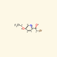 O=C(CBr)c1ccc(OCC(F)(F)F)cn1